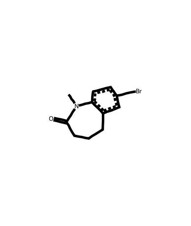 CN1C(=O)CCCc2cc(Br)ccc21